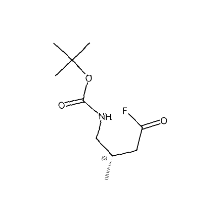 C[C@H](CNC(=O)OC(C)(C)C)CC(=O)F